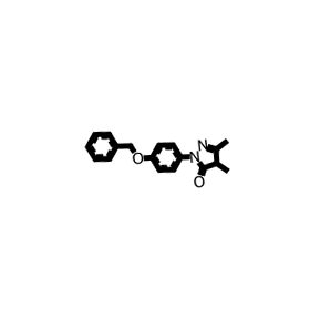 CC1=NN(c2ccc(OCc3ccccc3)cc2)C(=O)C1C